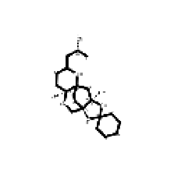 C[C@@H](C#N)CC1CC[C@@H]2OC[C@]34CCC2(C[C@H]3OC2(CCCCC2)O4)O1